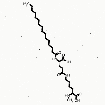 CCCCCCCCCCCCCCCC(=O)N[C@@H](CCC(=O)NCCCC[C@H](NC)C(=O)O)C(=O)O